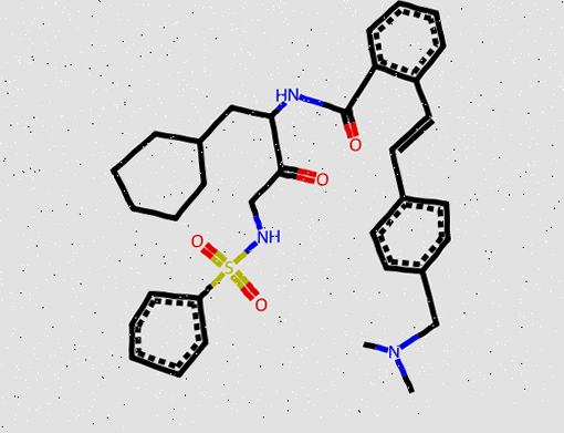 CN(C)Cc1ccc(C=Cc2ccccc2C(=O)NC(CC2CCCCC2)C(=O)CNS(=O)(=O)c2ccccc2)cc1